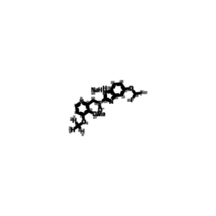 [2H]C([2H])([2H])Oc1ccnc(C[S+]([O-])c2nc3cc(OC(F)F)ccc3[nH]2)c1OC.[NaH]